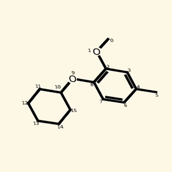 COc1cc(C)ccc1OC1CCCCC1